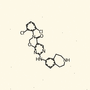 O=C1c2cnc(Nc3ccc4c(c3)CCNCC4)nc2OCN1c1c(Cl)cccc1Cl